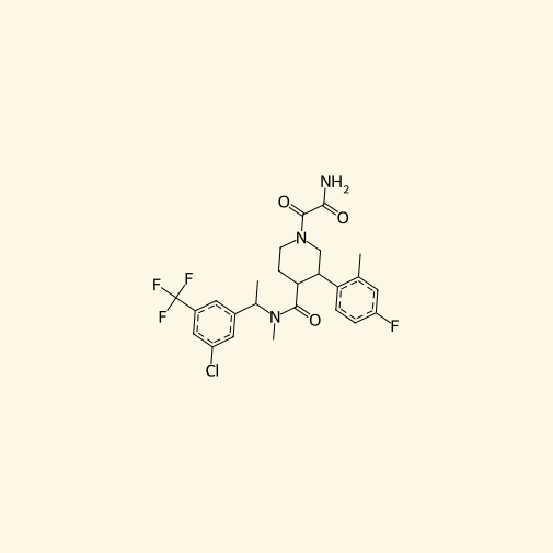 Cc1cc(F)ccc1C1CN(C(=O)C(N)=O)CCC1C(=O)N(C)C(C)c1cc(Cl)cc(C(F)(F)F)c1